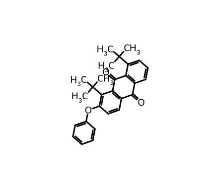 CC(C)(C)c1cccc2c1C(=O)c1c(ccc(Oc3ccccc3)c1C(C)(C)C)C2=O